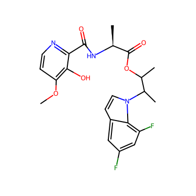 COc1ccnc(C(=O)N[C@@H](C)C(=O)OC(C)C(C)n2ccc3cc(F)cc(F)c32)c1O